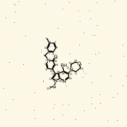 Cc1cccc(Cn2ccc(-c3cn(SI)c4ncc(N5CCOCC5)c(P)c34)cc2=O)c1